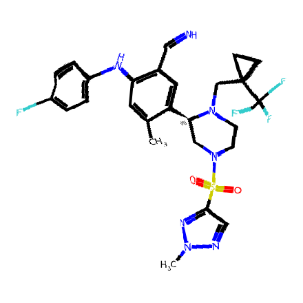 Cc1cc(Nc2ccc(F)cc2)c(C=N)cc1[C@@H]1CN(S(=O)(=O)c2cnn(C)n2)CCN1CC1(C(F)(F)F)CC1